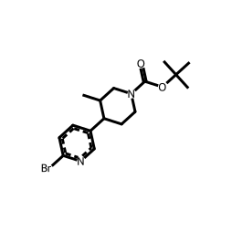 CC1CN(C(=O)OC(C)(C)C)CCC1c1ccc(Br)nc1